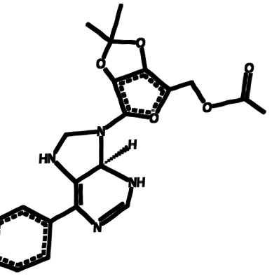 CC(=O)OCc1oc(N2CNC3=C(c4ccccc4)N=CN[C@@H]32)c2c1OC(C)(C)O2